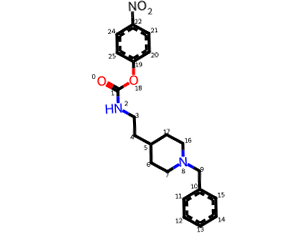 O=C(NCCC1CCN(Cc2ccccc2)CC1)Oc1ccc([N+](=O)[O-])cc1